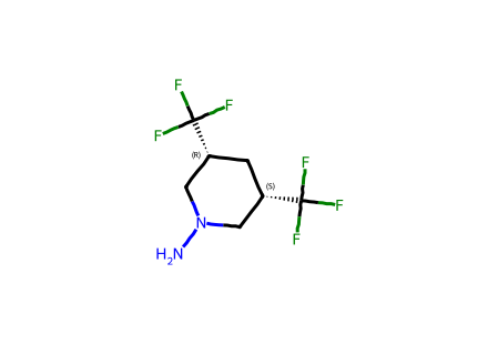 NN1C[C@H](C(F)(F)F)C[C@H](C(F)(F)F)C1